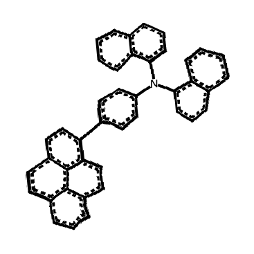 c1ccc2c(N(c3ccc(-c4ccc5ccc6cccc7ccc4c5c67)cc3)c3cccc4ccccc34)cccc2c1